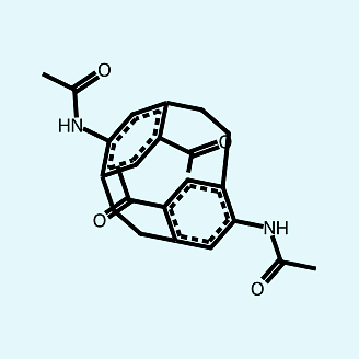 CC(=O)Nc1cc2c(C(C)=O)cc1CCc1cc(NC(C)=O)c(cc1C(C)=O)CC2